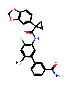 Cc1cc(F)c(NC(=O)C2(c3ccc4c(c3)OCO4)CC2)cc1-c1cccc(C(N)=O)c1